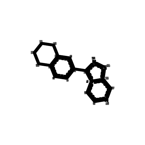 c1cn2c(-c3ccc4c(c3)CCCC4)nnc2cn1